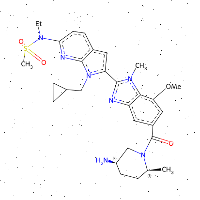 CCN(c1ccc2cc(-c3nc4cc(C(=O)N5C[C@H](N)CC[C@@H]5C)cc(OC)c4n3C)n(CC3CC3)c2n1)S(C)(=O)=O